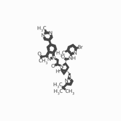 CC(=O)c1nn(CC(=O)N2[C@H](C(=O)Nc3nc(Br)ccc3C)C[C@@]3(Cn4ccc(C(C)(C)C)n4)C[C@@H]23)c2ccc(-c3cnc(C)nc3)cc12